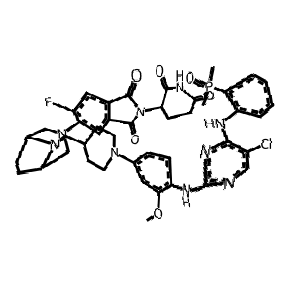 COc1cc(N2CCC(CN3C4CCC3CN(c3cc5c(cc3F)C(=O)N(C3CCC(=O)NC3=O)C5=O)C4)CC2)ccc1Nc1ncc(Cl)c(Nc2ccccc2P(C)(C)=O)n1